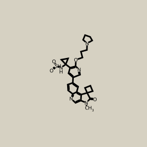 CN1C(=O)C2(CCC2)c2c1cnc1ccc(-c3cnc(OCCCN4CCCC4)c(C4(N[SH](=O)=O)CC4)c3)cc21